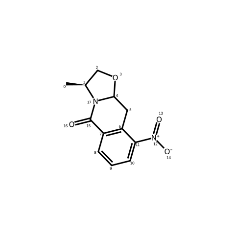 C[C@H]1COC2Cc3c(cccc3[N+](=O)[O-])C(=O)N21